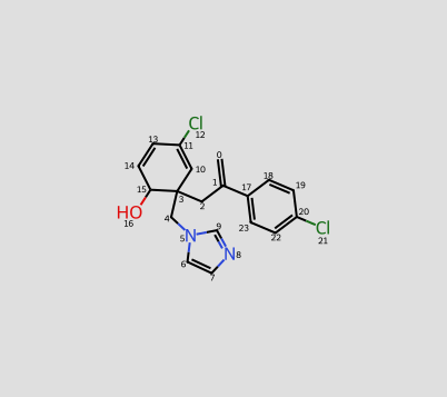 C=C(CC1(Cn2ccnc2)C=C(Cl)C=CC1O)c1ccc(Cl)cc1